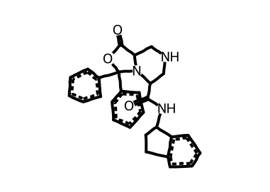 O=C(NC1CCc2ccccc21)C1CNCC2C(=O)OC(c3ccccc3)(c3ccccc3)N12